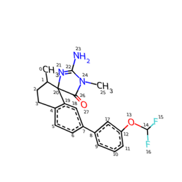 CC1CCc2ccc(-c3cccc(OC(F)F)c3)cc2C12N=C(N)N(C)C2=O